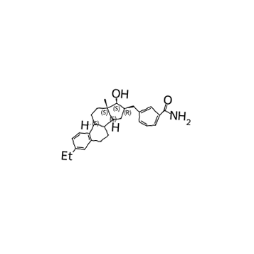 CCc1ccc2c(c1)CCC1[C@@H]2CC[C@@]2(C)[C@H]1C[C@H](Cc1cccc(C(N)=O)c1)[C@@H]2O